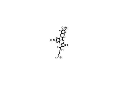 CCN(CC)CCCNC(=O)c1c[nH]c(/C=C2/C(=O)N(Cc3ncc(C)c(OC)c3C)c3nc(N)nc(Cl)c32)c1